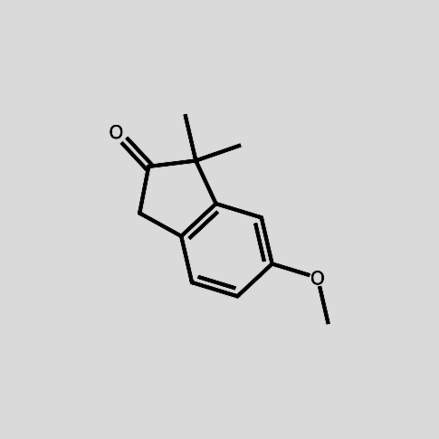 COc1ccc2c(c1)C(C)(C)C(=O)C2